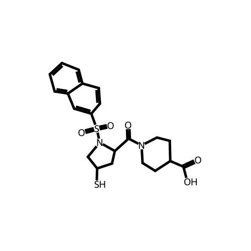 O=C(O)C1CCN(C(=O)C2CC(S)CN2S(=O)(=O)c2ccc3ccccc3c2)CC1